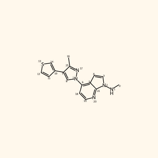 CNn1ccc2c(-n3cc(-c4ccsc4)c(C)n3)ccnc21